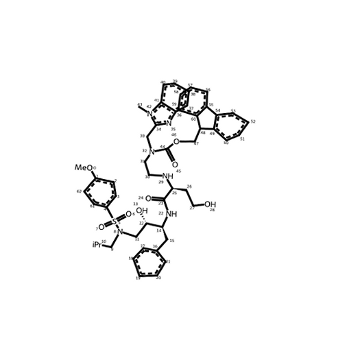 COc1ccc(S(=O)(=O)N(CC(C)C)C[C@H](O)[C@H](Cc2ccccc2)NC(=O)[C@H](CCO)NCCN(Cc2nc3ccccc3n2C)C(=O)OCC2c3ccccc3-c3ccccc32)cc1